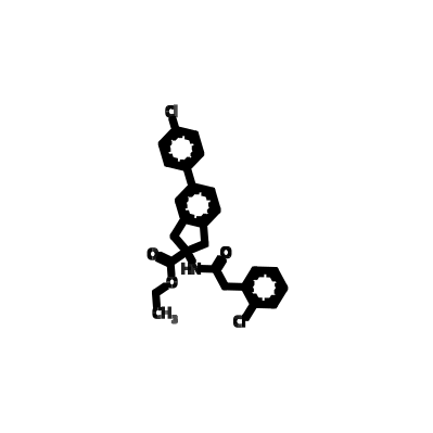 CCOC(=O)C1(NC(=O)Cc2ccccc2Cl)Cc2ccc(-c3ccc(Cl)cc3)cc2C1